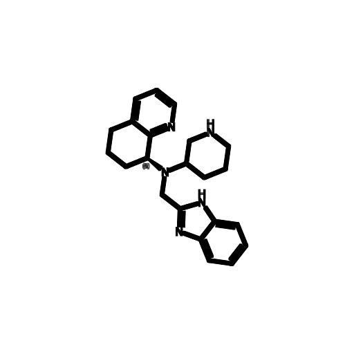 c1cnc2c(c1)CCC[C@@H]2N(Cc1nc2ccccc2[nH]1)C1CCCNC1